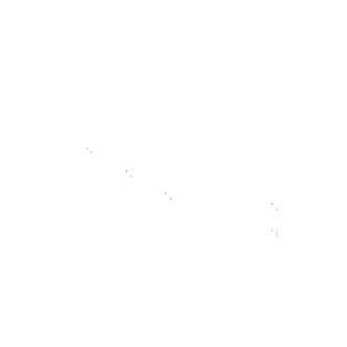 Cc1ccc2c(Cl)cc(N3CCO[C@@H](c4cnn(C)c4)C3)nc2n1